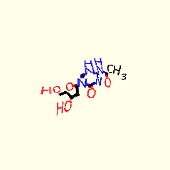 CC(=O)NC1=NC(=O)N(C2CC(O)C(CO)O2)CN1